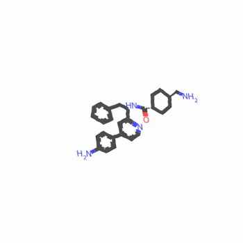 NC[C@H]1CC[C@H](C(=O)NC(Cc2ccccc2)c2cc(-c3ccc(N)cc3)ccn2)CC1